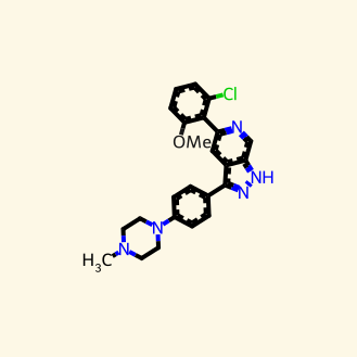 COc1cccc(Cl)c1-c1cc2c(-c3ccc(N4CCN(C)CC4)cc3)n[nH]c2cn1